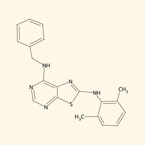 Cc1cccc(C)c1Nc1nc2c(NCc3ccccc3)ncnc2s1